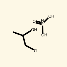 CC(O)CCl.O=[PH](O)O